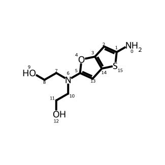 Nc1cc2oc(N(CCO)CCO)cc2s1